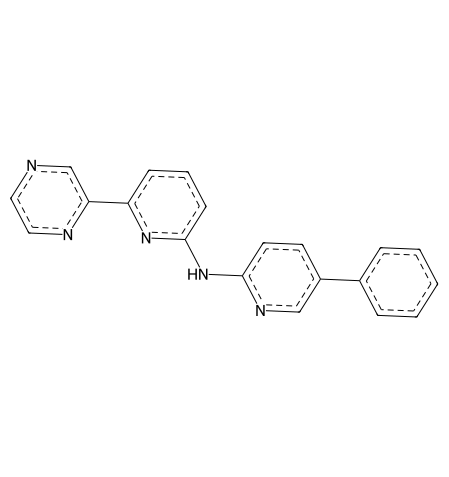 c1ccc(-c2ccc(Nc3cccc(-c4cnccn4)n3)nc2)cc1